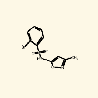 Cc1cc(NS(=O)(=O)c2ccccc2Br)on1